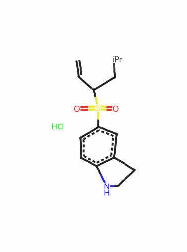 C=CC(CC(C)C)S(=O)(=O)c1ccc2c(c1)CCN2.Cl